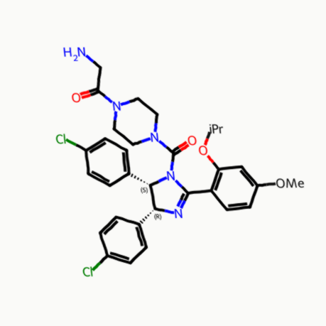 COc1ccc(C2=N[C@H](c3ccc(Cl)cc3)[C@H](c3ccc(Cl)cc3)N2C(=O)N2CCN(C(=O)CN)CC2)c(OC(C)C)c1